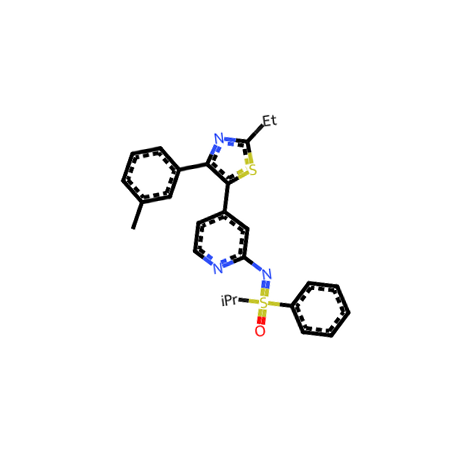 CCc1nc(-c2cccc(C)c2)c(-c2ccnc(N=S(=O)(c3ccccc3)C(C)C)c2)s1